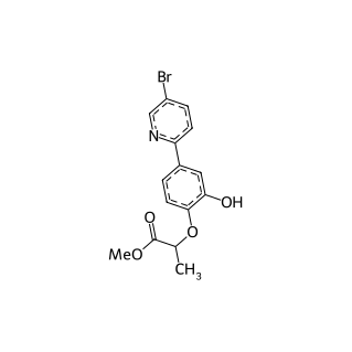 COC(=O)C(C)Oc1ccc(-c2ccc(Br)cn2)cc1O